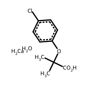 CC(C)(Oc1ccc(Cl)cc1)C(=O)O.O.[CaH2]